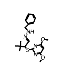 COc1cc(OC)nc(SC(/C=N/NCc2ccccc2)C(C)(C)C)n1